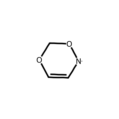 C1=COCO[N]1